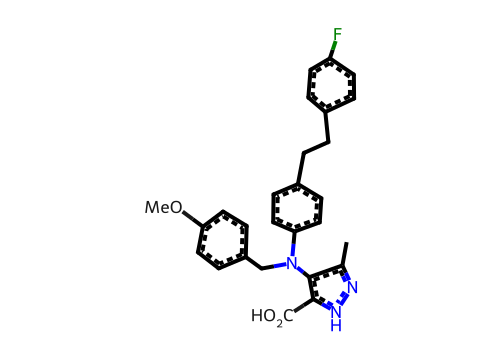 COc1ccc(CN(c2ccc(CCc3ccc(F)cc3)cc2)c2c(C)n[nH]c2C(=O)O)cc1